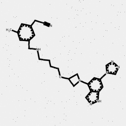 Cc1cc(CC#N)cc(CNCCCCOC2CN(c3cc(-n4cnnc4)cc4[nH]ncc34)C2)c1